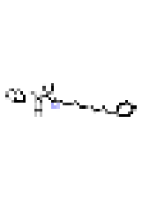 O=C(/C=C/CCCCCCCc1ccccc1)NCC1CCOC1